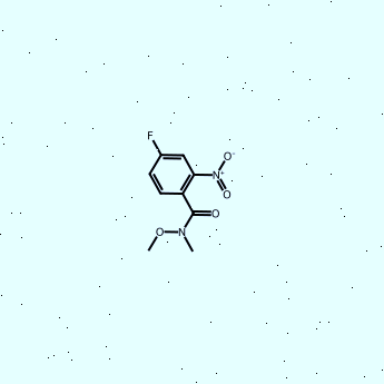 CON(C)C(=O)c1ccc(F)cc1[N+](=O)[O-]